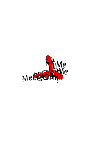 COCCOCCOCCN(CC(C)(C)SC(C)C)c1cc(COc2cc3c(cc2OC)C(=O)N2c4ccccc4CC2C=N3)cc(COc2cc3c(cc2OC)C(=O)N2c4ccccc4CC2CN3)c1